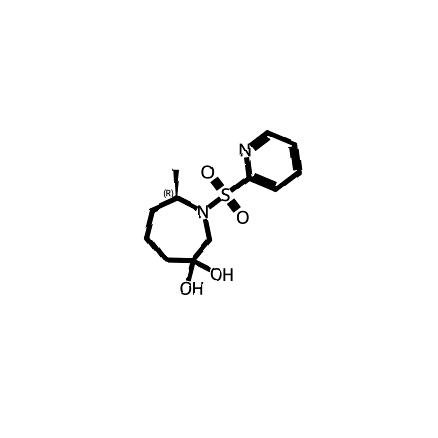 C[C@@H]1CCCC(O)(O)CN1S(=O)(=O)c1ccccn1